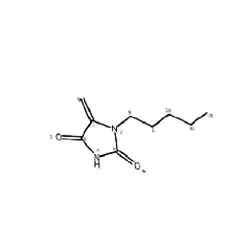 C=C1C(=O)NC(=O)N1CCCCC